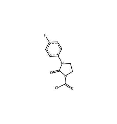 O=C1N(C(=S)Cl)CCN1c1ccc(F)cc1